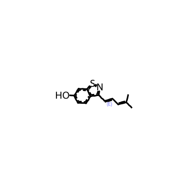 CC(C)=C/C=C/c1nsc2cc(O)ccc12